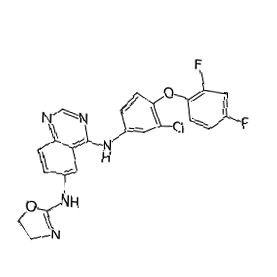 Fc1ccc(Oc2ccc(Nc3ncnc4ccc(NC5=NCCO5)cc34)cc2Cl)c(F)c1